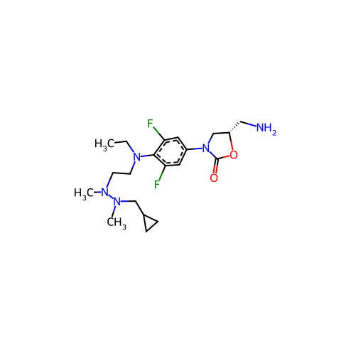 CCN(CCN(C)N(C)CC1CC1)c1c(F)cc(N2C[C@H](CN)OC2=O)cc1F